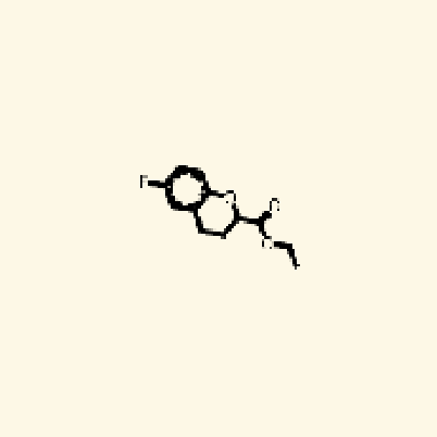 CCOC(=O)C1CCc2cc(F)ccc2O1